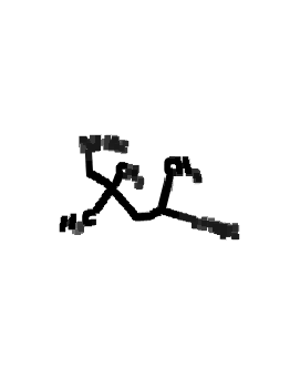 CCCCCCC[C](C)CC(C)(C)CNC(C)=O